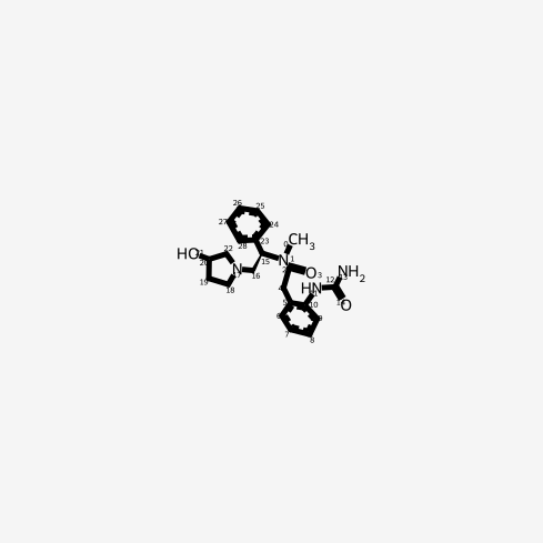 CN(C(=O)Cc1ccccc1NC(N)=O)[C@@H](CN1CCC(O)C1)c1ccccc1